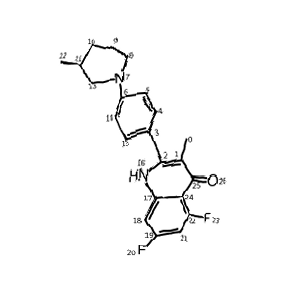 Cc1c(-c2ccc(N3CCC[C@H](C)C3)cc2)[nH]c2cc(F)cc(F)c2c1=O